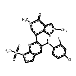 Cn1cc2c(=O)n(C)cc(-c3nc4c(ccn4S(C)(=O)=O)cc3Nc3ccc(Cl)cc3F)c2n1